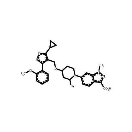 CC(C)C1CC(OCc2c(-c3ccccc3OC(F)(F)F)noc2C2CC2)CCN1c1ccc2c(C(=O)O)nn(C)c2c1